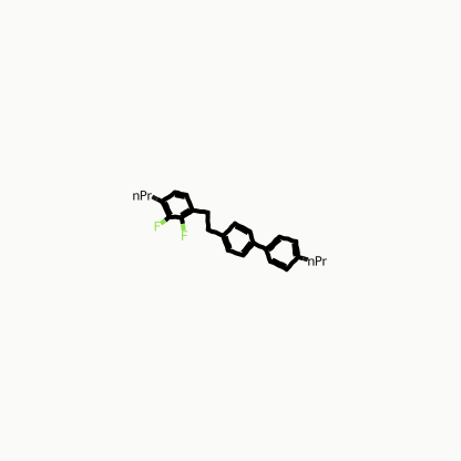 CCCc1ccc(-c2ccc(CCc3ccc(CCC)c(F)c3F)cc2)cc1